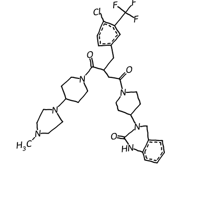 CN1CCN(C2CCN(C(=O)C(CC(=O)N3CCC(N4Cc5ccccc5NC4=O)CC3)Cc3ccc(Cl)c(C(F)(F)F)c3)CC2)CC1